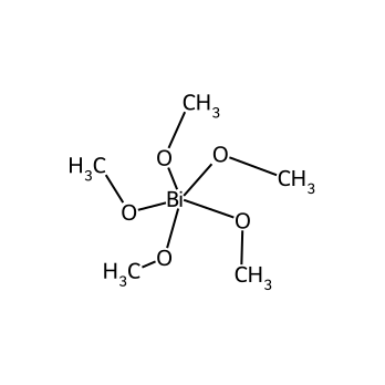 C[O][Bi]([O]C)([O]C)([O]C)[O]C